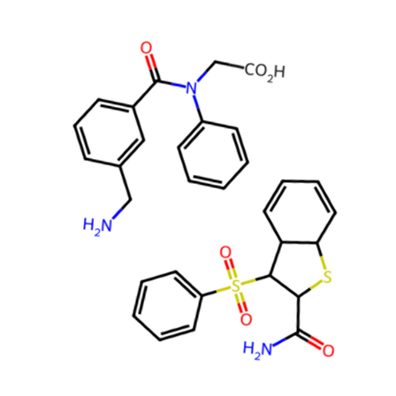 NC(=O)C1SC2C=CC=CC2C1S(=O)(=O)c1ccccc1.NCc1cccc(C(=O)N(CC(=O)O)c2ccccc2)c1